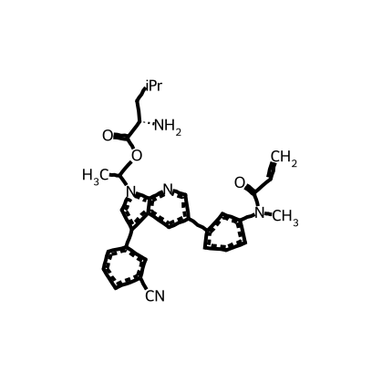 C=CC(=O)N(C)c1cccc(-c2cnc3c(c2)c(-c2cccc(C#N)c2)cn3C(C)OC(=O)[C@@H](N)CC(C)C)c1